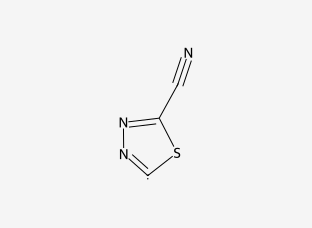 N#Cc1nn[c]s1